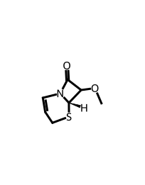 COC1C(=O)N2C=CCS[C@@H]12